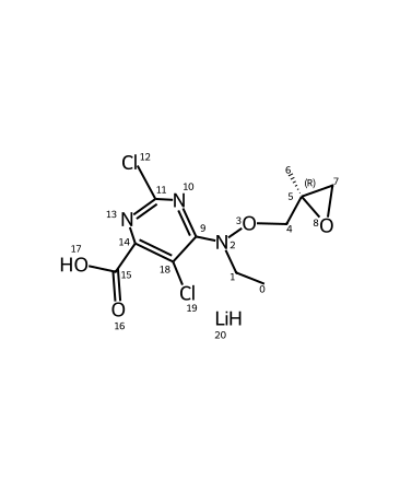 CCN(OC[C@@]1(C)CO1)c1nc(Cl)nc(C(=O)O)c1Cl.[LiH]